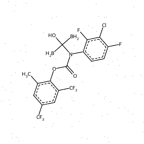 BC(B)(O)N(C(=O)Oc1c(C)cc(C(F)(F)F)cc1C(F)(F)F)c1ccc(F)c(Cl)c1F